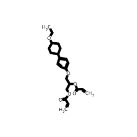 C=CC(=O)OCC(COc1ccc(C2CCC(OCC)CC2)cc1)OC(=O)C=C